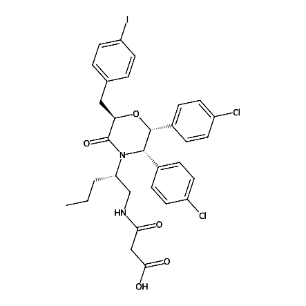 CCC[C@@H](CNC(=O)CC(=O)O)N1C(=O)[C@@H](Cc2ccc(I)cc2)O[C@H](c2ccc(Cl)cc2)[C@@H]1c1ccc(Cl)cc1